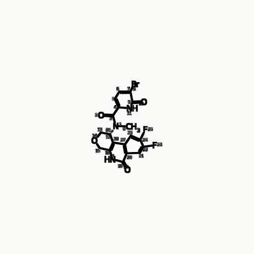 CN(C(=O)c1ccc(Br)c(=O)[nH]1)[C@H]1COCc2[nH]c(=O)c3cc(F)c(F)cc3c21